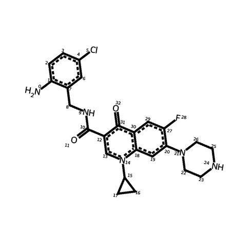 Nc1ccc(Cl)cc1CNC(=O)c1cn(C2CC2)c2cc(N3CCNCC3)c(F)cc2c1=O